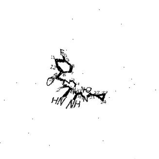 N=C1CN(C(=O)c2ccc(F)cc2)CCN1C(=N)c1noc(C2CC2)n1